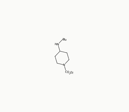 CCOC(=O)N1CCC(NC(C)CC)CC1